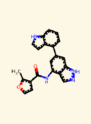 Cc1occc1C(=O)Nc1cc(-c2cccc3[nH]ccc23)cc2[nH]ncc12